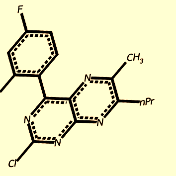 CCCc1nc2nc(Cl)nc(-c3ccc(F)cc3F)c2nc1C